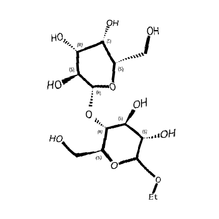 CCOC1O[C@@H](CO)[C@H](O[C@H]2O[C@@H](CO)[C@@H](O)[C@@H](O)[C@@H]2O)[C@@H](O)[C@@H]1O